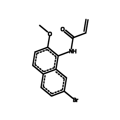 C=CC(=O)Nc1c(OC)ccc2ccc(Br)cc12